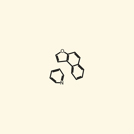 c1ccc2c(c1)ccc1occc12.c1ccncc1